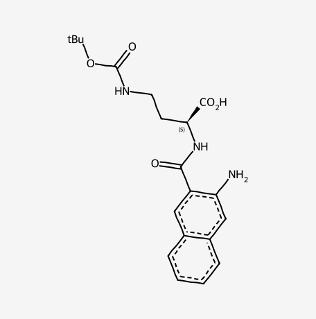 CC(C)(C)OC(=O)NCC[C@H](NC(=O)c1cc2ccccc2cc1N)C(=O)O